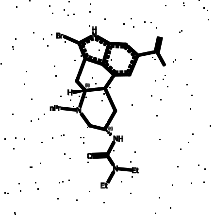 C=C(C)c1cc2c3c(c(Br)[nH]c3c1)C[C@@H]1C2C[C@H](NC(=O)N(CC)CC)CN1CCC